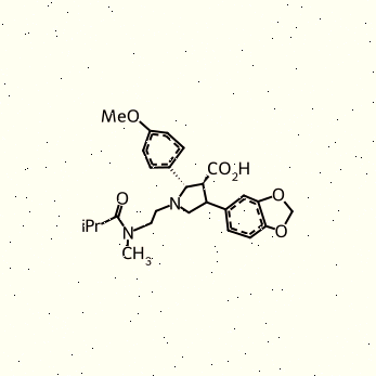 COc1ccc([C@@H]2[C@@H](C(=O)O)C(c3ccc4c(c3)OCO4)CN2CCN(C)C(=O)C(C)C)cc1